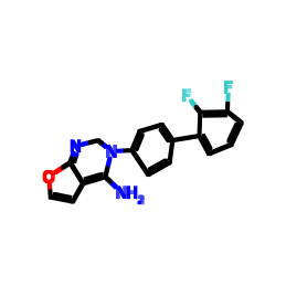 NC1=c2ccoc2=NCN1c1ccc(-c2cccc(F)c2F)cc1